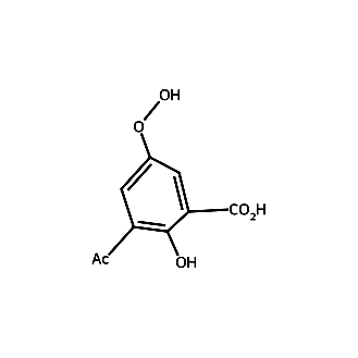 CC(=O)c1cc(OO)cc(C(=O)O)c1O